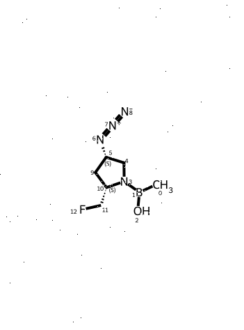 CB(O)N1C[C@@H](N=[N+]=[N-])C[C@H]1CF